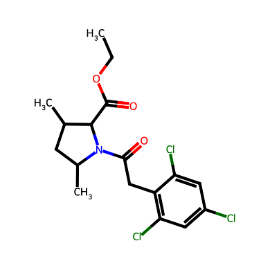 CCOC(=O)C1C(C)CC(C)N1C(=O)Cc1c(Cl)cc(Cl)cc1Cl